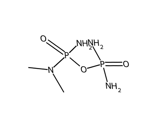 CN(C)P(N)(=O)OP(N)(N)=O